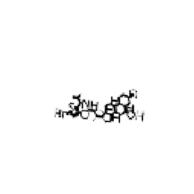 CC(C)C(NC(=O)C[C@@H](C)[C@H]1CC[C@H]2[C@@H]3C[C@H](O)[C@@H]4CC(=O)CC[C@]4(C)[C@H]3CC[C@]12C)c1ccc(Br)s1